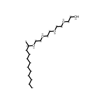 CCCCCCCCCCC(C)OCCOCCOCCOCCO